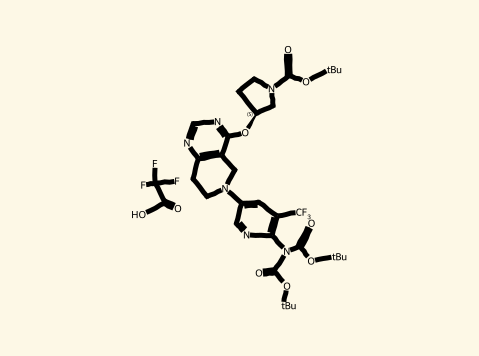 CC(C)(C)OC(=O)N1CC[C@H](Oc2ncnc3c2CN(c2cnc(N(C(=O)OC(C)(C)C)C(=O)OC(C)(C)C)c(C(F)(F)F)c2)CC3)C1.O=C(O)C(F)(F)F